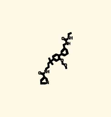 CCNC(=O)NCc1cccc(-c2ccc(C(C)(C)CCCNC(=O)c3cccnc3)cc2OCOC)c1